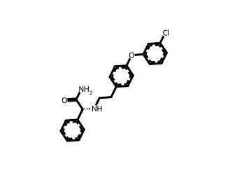 NC(=O)[C@H](NCCc1ccc(Oc2cccc(Cl)c2)cc1)c1ccccc1